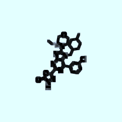 CC[C@@H]1COCCN1c1nc2nc(-c3n[nH]c(=O)o3)nc(-c3cccc(Cl)c3)c2n1CC1CCC(C)CC1